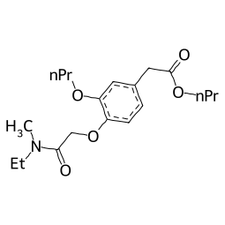 CCCOC(=O)Cc1ccc(OCC(=O)N(C)CC)c(OCCC)c1